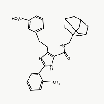 Cc1ccccc1-c1nc(CCc2cccc(C(=O)O)c2)c(C(=O)NCC23CC4CC(CC(C4)C2)C3)[nH]1